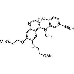 C#Cc1ccc(C)c(N(C)c2ncnc3cc(OCCOC)c(OCCOC)cc23)c1